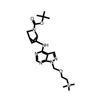 CC(C)(C)OC(=O)N1CC2CC(Nc3ncnc4c3cnn4COCC[Si](C)(C)C)C1C2